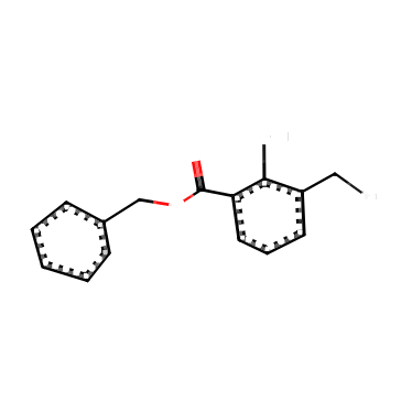 CC(C)Cc1cccc(C(=O)OCc2ccccc2)c1C(=O)O